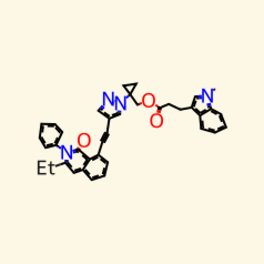 CCc1cc2cccc(C#Cc3cnn(C4(COC(=O)CCc5cn(C)c6ccccc56)CC4)c3)c2c(=O)n1-c1ccccc1